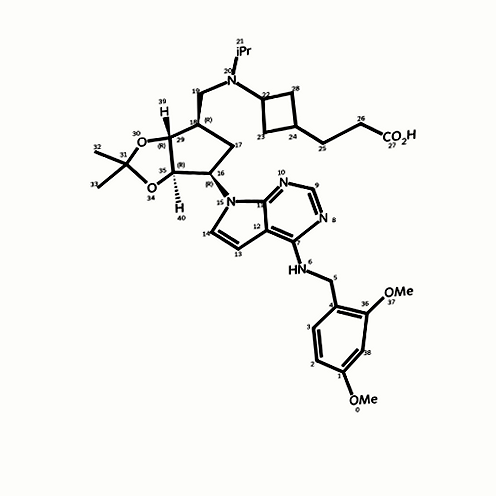 COc1ccc(CNc2ncnc3c2ccn3[C@@H]2C[C@H](CN(C(C)C)C3CC(CCC(=O)O)C3)[C@H]3OC(C)(C)O[C@@H]32)c(OC)c1